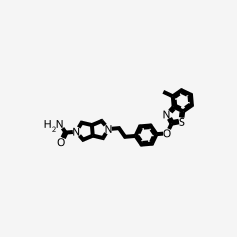 Cc1cccc2sc(Oc3ccc(CCN4CC5CN(C(N)=O)CC5C4)cc3)nc12